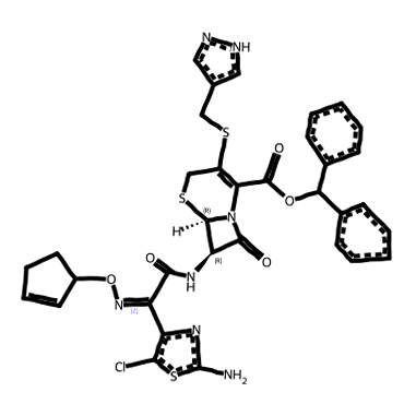 Nc1nc(/C(=N/OC2C=CCC2)C(=O)N[C@@H]2C(=O)N3C(C(=O)OC(c4ccccc4)c4ccccc4)=C(SCc4cn[nH]c4)CS[C@H]23)c(Cl)s1